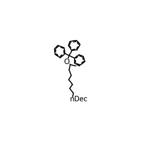 CCCCCCCCCCCCCCCCC(C)OC(c1ccccc1)(c1ccccc1)c1ccccc1